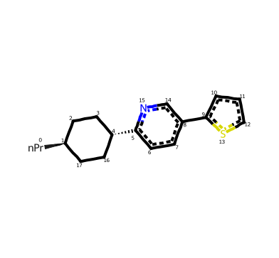 CCC[C@H]1CC[C@H](c2ccc(-c3cccs3)cn2)CC1